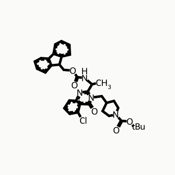 CC(NC(=O)OCC1c2ccccc2-c2ccccc21)c1nc2cccc(Cl)c2c(=O)n1CC1CCN(C(=O)OC(C)(C)C)CC1